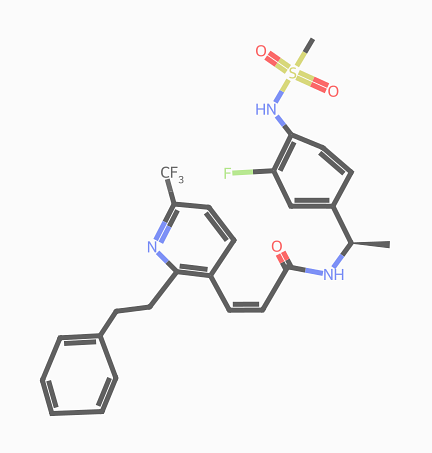 C[C@@H](NC(=O)/C=C\c1ccc(C(F)(F)F)nc1CCc1ccccc1)c1ccc(NS(C)(=O)=O)c(F)c1